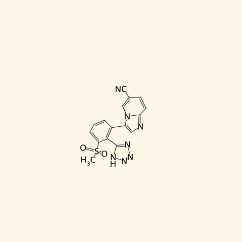 CS(=O)(=O)c1cccc(-c2cnc3ccc(C#N)cn23)c1-c1nnn[nH]1